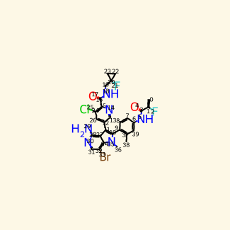 C=C(F)C(=O)Nc1ccc(-c2c(-c3cnc(C(=O)NCC4(F)CC4)c(Cl)c3)c3c(N)ncc(Br)c3n2C)c(C)c1